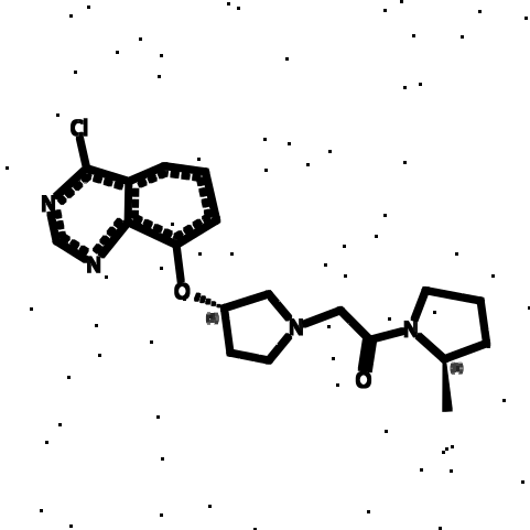 C[C@@H]1CCCN1C(=O)CN1CC[C@H](Oc2cccc3c(Cl)ncnc23)C1